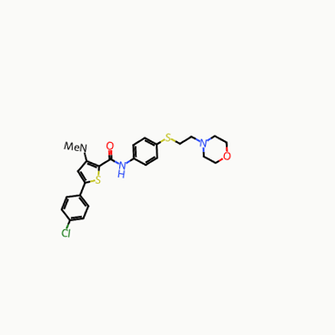 CNc1cc(-c2ccc(Cl)cc2)sc1C(=O)Nc1ccc(SCCN2CCOCC2)cc1